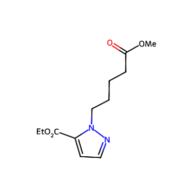 CCOC(=O)c1ccnn1CCCCC(=O)OC